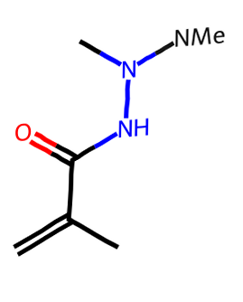 C=C(C)C(=O)NN(C)NC